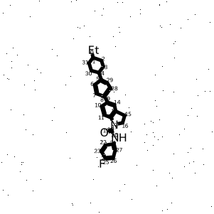 CCC1CCC(c2ccc(-c3ccc4c(c3)CCN4C(=O)Nc3ccc(F)cc3)cc2)CC1